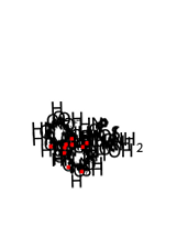 CCSC[C@H](N)C(=O)N[C@@H](CO)C(=O)NCC(=O)N[C@@H](Cc1c[nH]c2ccccc12)C(=O)N[C@H](C(=O)NC(=O)N[C@H]1C(=O)N[C@@H](CC(C)C)C(=O)N[C@H]([C@H](C)S)C(=O)N[C@@H](C(C)CC)C(=O)N[C@@H](CCC(=O)O)C(=O)N[C@H](C(=O)NCC(=O)N[C@@H]2C(=O)N[C@@H](C(C)C)C(=O)N[C@@H](C(C)CC)C(=O)N[C@@H](C)C(=O)N[C@@H](C)C(=O)N[C@H](C(=O)O)C[S+]([O-])[C@H]2C)CS[C@H]1C)C(C)C